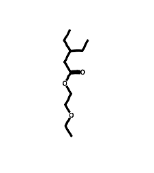 CCOCCOC(=O)CC(CC)CC